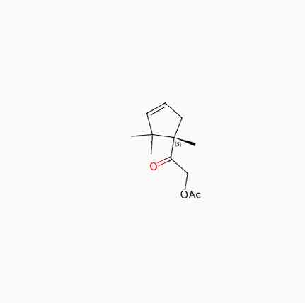 CC(=O)OCC(=O)[C@@]1(C)CC=CC1(C)C